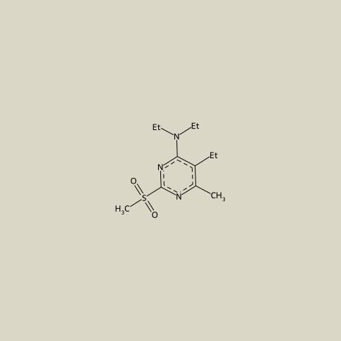 CCc1c(C)nc(S(C)(=O)=O)nc1N(CC)CC